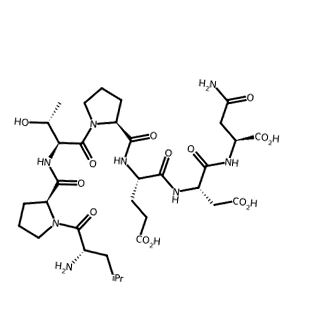 CC(C)C[C@H](N)C(=O)N1CCC[C@H]1C(=O)N[C@H](C(=O)N1CCC[C@H]1C(=O)N[C@@H](CCC(=O)O)C(=O)N[C@@H](CC(=O)O)C(=O)N[C@@H](CC(N)=O)C(=O)O)[C@@H](C)O